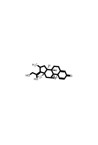 CC1C[C@H]2[C@@H]3CCC4=CC(=O)C=C[C@]4(C)[C@]34OC4C[C@]2(C)C1=C(O)CO